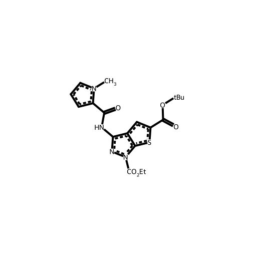 CCOC(=O)n1nc(NC(=O)c2cccn2C)c2cc(C(=O)OC(C)(C)C)sc21